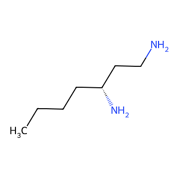 CCCC[C@@H](N)CCN